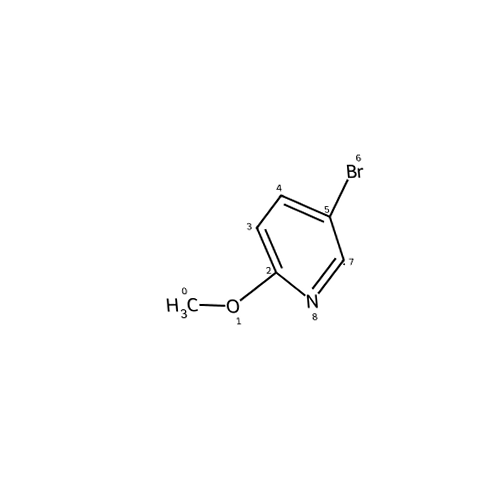 COc1ccc(Br)[c]n1